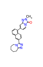 Cn1nc2cc(-c3cccc4cc(-c5nnc6n5CCCCC6)ccc34)ccn2c1=O